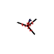 CCCCCCCOC(=O)CCCC(=O)OCC(COC(=O)CCCC(=O)OCCCCCCC)(COC(=O)CCCC(=O)OCCCCCCC)COC(=O)OCCCN(CC)CC